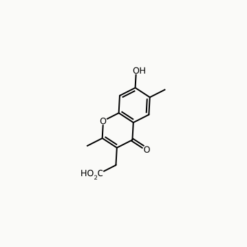 Cc1cc2c(=O)c(CC(=O)O)c(C)oc2cc1O